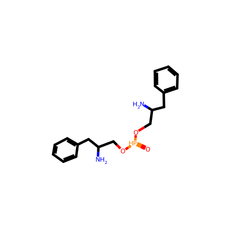 NC(CO[PH](=O)OCC(N)Cc1ccccc1)Cc1ccccc1